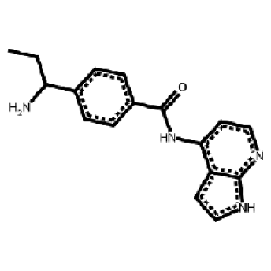 CCC(N)c1ccc(C(=O)Nc2ccnc3[nH]ccc23)cc1